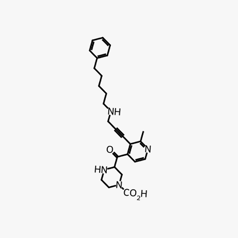 Cc1nccc(C(=O)C2CN(C(=O)O)CCN2)c1C#CCNCCCCCc1ccccc1